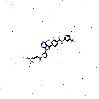 CN(C)C/C=C/C(=O)N1CCC(n2nc(-c3ccc(C(=O)Nc4cc(C(F)(F)F)ccn4)cc3)c3c(N)ncnc32)C1